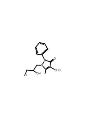 Cc1c(C=O)c(=O)n(-c2ccccc2)n1CC(O)CCl